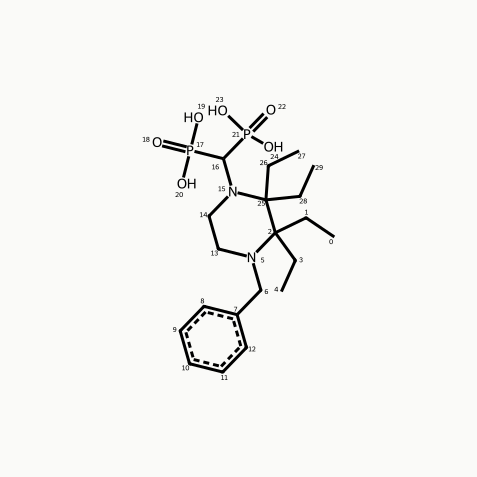 CCC1(CC)N(Cc2ccccc2)CCN(C(P(=O)(O)O)P(=O)(O)O)C1(CC)CC